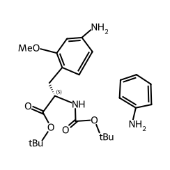 COc1cc(N)ccc1C[C@H](NC(=O)OC(C)(C)C)C(=O)OC(C)(C)C.Nc1ccccc1